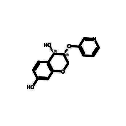 Oc1ccc2c(c1)OC[C@@H](Oc1cccnc1)[C@H]2O